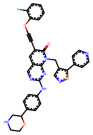 O=c1c(C#COc2ccccc2F)cc2cnc(Nc3ccc(C4CNCCO4)cc3)nc2n1Cc1cnsc1-c1ccncc1